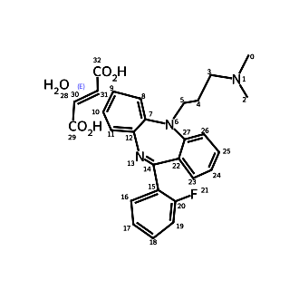 CN(C)CCCN1c2ccccc2N=C(c2ccccc2F)c2ccccc21.O.O=C(O)/C=C/C(=O)O